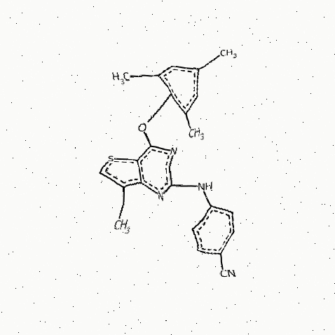 Cc1cc(C)c(Oc2nc(Nc3ccc(C#N)cc3)nc3c(C)csc23)c(C)c1